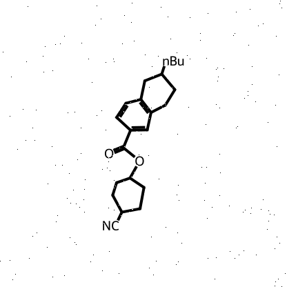 CCCCC1CCc2cc(C(=O)OC3CCC(C#N)CC3)ccc2C1